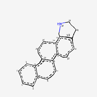 c1ccc2c(c1)ccc1c3ccc4c(c3ccc21)NCC4